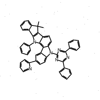 CC1(C)c2ccccc2-c2c1c1ccc3c(c4cc(-c5ccccn5)ccc4n3-c3nc(-c4ccccc4)nc(-c4ccccc4)n3)c1n2-c1ccccc1